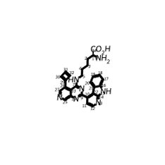 N[C@@H](CCCCNc1nc(-c2ccnc3[nH]c4ccccc4c23)nc2cncc(C3=CC=C3)c12)C(=O)O